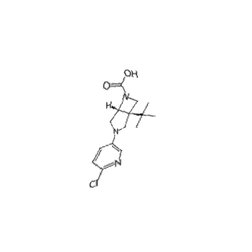 CC(C)(C)[C@@]12CN(c3ccc(Cl)nc3)C[C@@H]1N(C(=O)O)C2